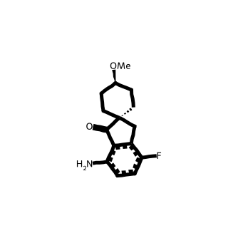 CO[C@H]1CC[C@]2(CC1)Cc1c(F)ccc(N)c1C2=O